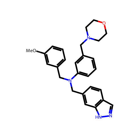 COc1cccc(CN(Cc2ccc3cn[nH]c3c2)c2cccc(CN3CCOCC3)c2)c1